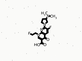 CN(C)C1CCN(c2nc3c(cc2F)c(=O)c(C(=O)O)cn3CCF)C1